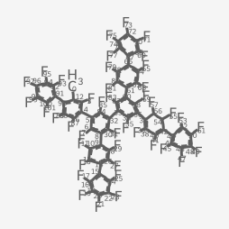 Cc1c(F)c(-c2c(F)c(-c3c(F)c(F)c(-c4c(F)c(F)c(F)c(F)c4F)c(F)c3F)c(F)c(-c3c(F)c(C4=C(F)C(F)=C(c5c(F)c(F)c(F)c(F)c5F)C(F)C4F)c(F)c(-c4c(F)c(F)c(-c5c(F)c(F)c(F)c(F)c5F)c(F)c4F)c3F)c2F)c(F)c(F)c1-c1c(F)c(F)c(F)c(F)c1F